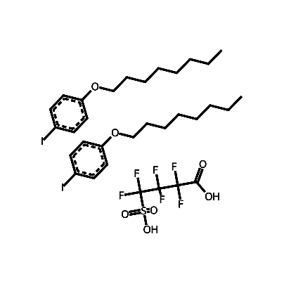 CCCCCCCCOc1ccc(I)cc1.CCCCCCCCOc1ccc(I)cc1.O=C(O)C(F)(F)C(F)(F)C(F)(F)S(=O)(=O)O